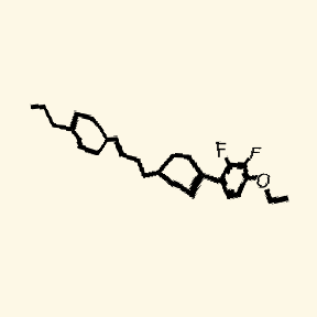 CCCC1CCC(/C=C/CCC2CCC(c3ccc(OCC)c(F)c3F)CC2)CC1